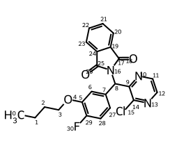 CCCCOc1cc(C(c2nccnc2Cl)N2C(=O)c3ccccc3C2=O)ccc1F